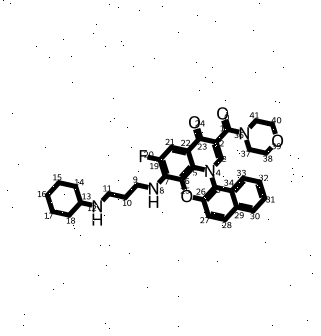 O=C(c1cn2c3c(c(NCCCNC4CCCCC4)c(F)cc3c1=O)Oc1ccc3ccccc3c1-2)N1CCOCC1